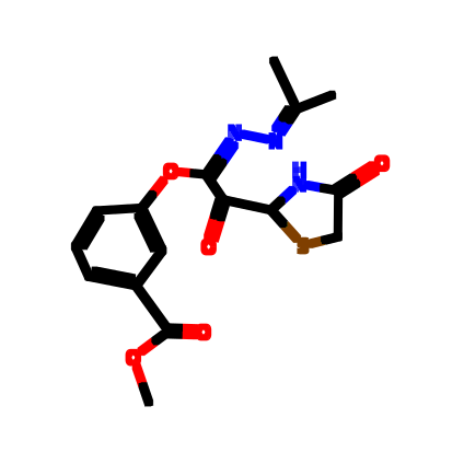 COC(=O)c1cccc(O/C(=N/N=C(C)C)C(=O)C2NC(=O)CS2)c1